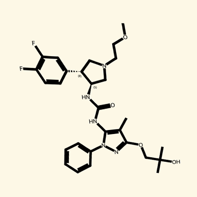 COCCN1C[C@@H](NC(=O)Nc2c(C)c(OCC(C)(C)O)nn2-c2ccccc2)[C@H](c2ccc(F)c(F)c2)C1